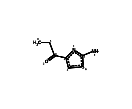 CCC(=O)c1csc([NH])n1